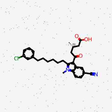 C[C@H](CC(=O)O)CC(=O)c1c(CCCCCCc2cccc(Cl)c2)n(C)c2ccc(C#N)cc12